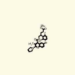 Cc1c(N2CCCC2)nc2ccc(Br)cc2c1C(=O)NCC(CCC(=O)OC(C)(C)C)c1c(F)cccc1F